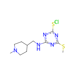 CSc1nc(NCC2CCN(C)CC2)nc(SCl)n1